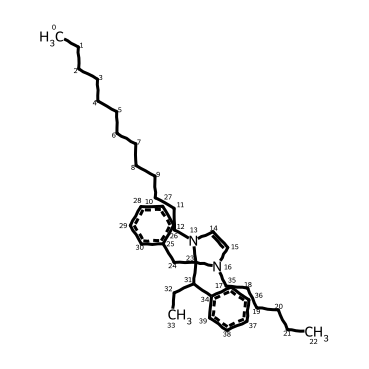 CCCCCCCCCCCCCN1C=CN(CCCCCC)C1(Cc1ccccc1)C(CC)c1ccccc1